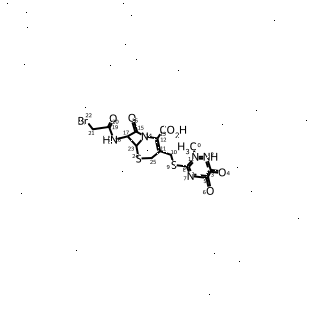 Cn1[nH]c(=O)c(=O)nc1SCC1=C(C(=O)O)N2C(=O)C(NC(=O)CBr)C2SC1